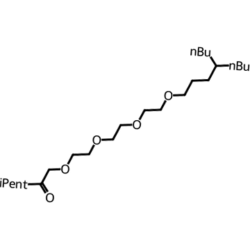 CCCCC(CCCC)CCCOCCOCCOCCOCC(=O)C(C)CCC